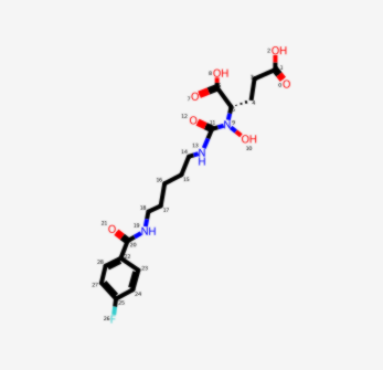 O=C(O)CC[C@@H](C(=O)O)N(O)C(=O)NCCCCCNC(=O)c1ccc(F)cc1